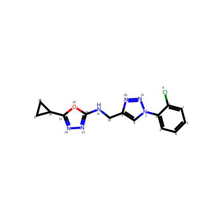 Clc1ccccc1-n1cc(CNc2nnc(C3CC3)o2)nn1